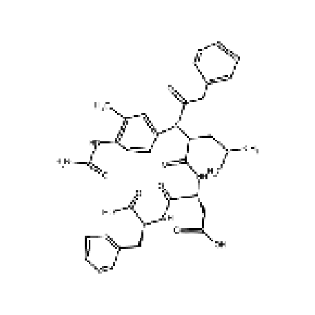 Cc1cc(N(C(=O)Cc2ccccc2)[C@@H](CC(C)C)C(=O)N[C@@H](CC(=O)O)C(=O)N[C@@H](Cc2ccccc2)C(=O)O)ccc1NC(N)=O